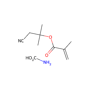 C=C(C)C(=O)OC(C)(C)CC#N.NC(=O)O